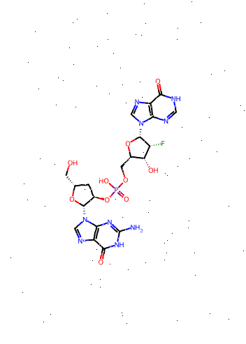 Nc1nc2c(ncn2[C@@H]2O[C@H](CO)C[C@H]2OP(=O)(O)OC[C@H]2O[C@H](n3cnc4c(=O)[nH]cnc43)[C@H](F)[C@@H]2O)c(=O)[nH]1